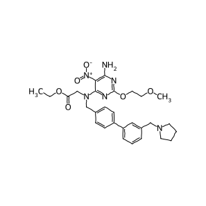 CCOC(=O)CN(Cc1ccc(-c2cccc(CN3CCCC3)c2)cc1)c1nc(OCCOC)nc(N)c1[N+](=O)[O-]